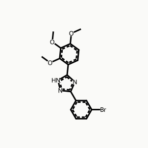 COc1ccc(-c2nc(-c3cccc(Br)c3)n[nH]2)c(OC)c1OC